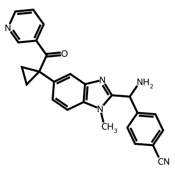 Cn1c(C(N)c2ccc(C#N)cc2)nc2cc(C3(C(=O)c4cccnc4)CC3)ccc21